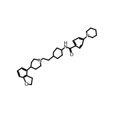 O=C(NC1CCC(CCN2CCC(c3cccc4c3CCO4)CC2)CC1)c1ccc(N2CCCCC2)cc1